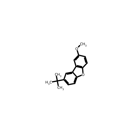 COc1ccc2oc3ccc(C(C)(C)C)cc3c2c1